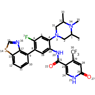 CC1CN(c2cc(F)c(-c3cccc4scnc34)cc2NC(=O)c2c[nH]c(=O)cc2C(F)(F)F)CC(C)N1C